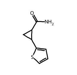 NC(=O)C1CC1c1cccs1